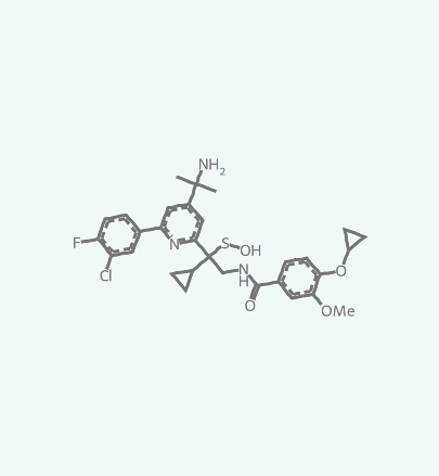 COc1cc(C(=O)NCC(SO)(c2cc(C(C)(C)N)cc(-c3ccc(F)c(Cl)c3)n2)C2CC2)ccc1OC1CC1